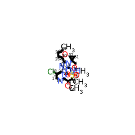 COCC1(n2c(NS(=O)(=O)C(C)C(OC)c3ncc(Cl)cn3)nnc2-c2ccc(C)o2)CC1